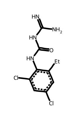 CCc1cc(Cl)cc(Cl)c1NC(=O)NC(=N)N